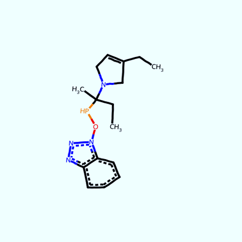 CCC1=CCN(C(C)(CC)POn2nnc3ccccc32)C1